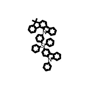 CC1(C)c2ccccc2-c2c1ccc1c3ccccc3n(-c3cccc([Si](c4ccccc4)(c4ccccc4)c4ccc5c(c4)c4ccccc4n5-c4ccccc4)c3)c21